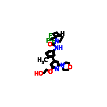 Cc1ccc(NC(=O)N2CC[C@H]3CCC32C(F)(F)F)cc1-c1cc(OCCO)nc(N2CCOCC2)c1